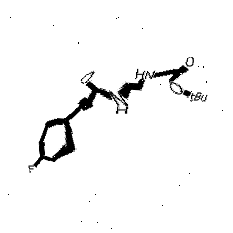 CC(C)(C)OC(=O)NCCNC(=O)C#Cc1ccc(F)cc1